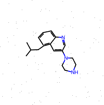 CC(C)Cc1cccc2ncc(N3CCNCC3)cc12